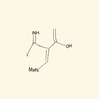 C=C(O)/C(=C/NC)C(=N)I